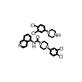 Clc1ccc(N2CCNCC2)cc1Cl.O=C(Nc1cccc2cnccc12)N1CCN(c2ccc(Cl)c(Cl)c2)CC1